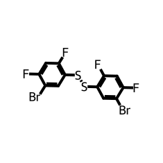 Fc1cc(F)c(SSc2cc(Br)c(F)cc2F)cc1Br